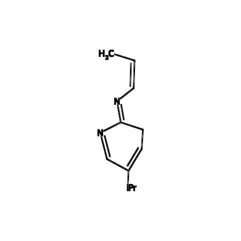 C/C=C\N=C1/CC=C(C(C)C)C=N1